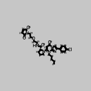 CCCCCn1c(N2CCC[C@H]2C(=O)NCCOCCN2C(=O)C=CC2=O)cc(=O)n2cc(-c3ccc(Cl)cc3)nc12